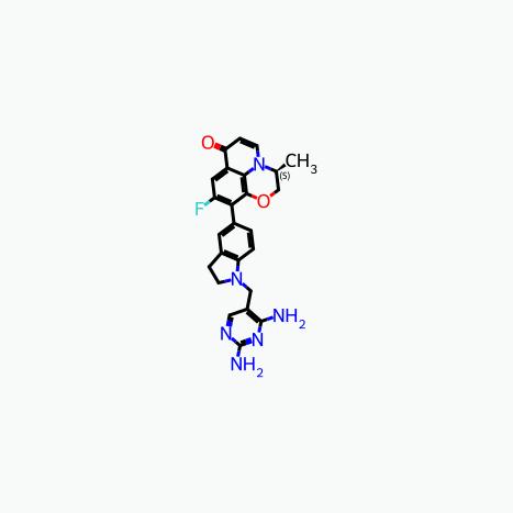 C[C@H]1COc2c(-c3ccc4c(c3)CCN4Cc3cnc(N)nc3N)c(F)cc3c(=O)ccn1c23